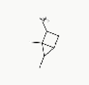 CC1C2CC(N)C12C